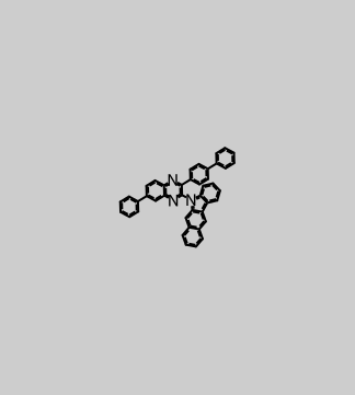 c1ccc(-c2ccc(-c3nc4ccc(-c5ccccc5)cc4nc3-n3c4ccccc4c4cc5ccccc5cc43)cc2)cc1